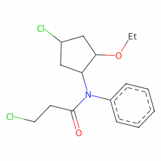 CCOC1CC(Cl)CC1N(C(=O)CCCl)c1ccccc1